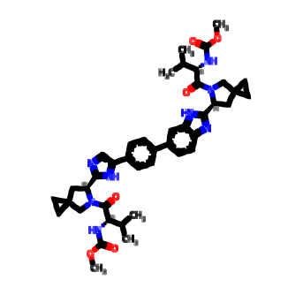 COC(=O)N[C@H](C(=O)N1CC2(CC2)C[C@H]1c1ncc(-c2ccc(-c3ccc4nc([C@@H]5CC6(CC6)CN5C(=O)[C@@H](NC(=O)OC)C(C)C)[nH]c4c3)cc2)[nH]1)C(C)C